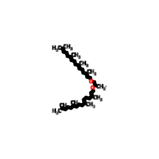 [CH2]C(COC/C=C(\C)CC/C=C(\C)CC/C=C(\C)CCC=C(C)C)OC/C=C(\C)CC/C=C(\C)CC/C=C(\C)CCC=C(C)C